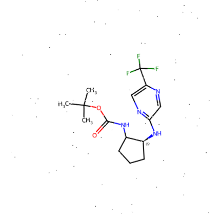 CC(C)(C)OC(=O)NC1CCC[C@@H]1Nc1cnc(C(F)(F)F)cn1